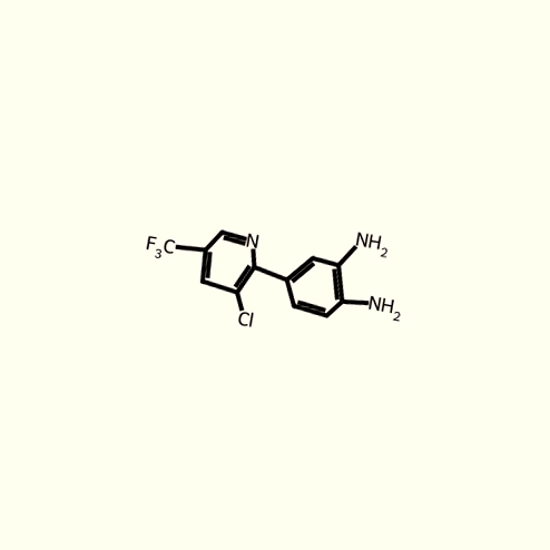 Nc1ccc(-c2ncc(C(F)(F)F)cc2Cl)cc1N